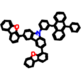 c1ccc(-c2c3ccccc3c(-c3cccc(-n4c5ccc(-c6cccc7c6oc6ccccc67)cc5c5cc(-c6cccc7c6oc6ccccc67)ccc54)c3)c3ccccc23)cc1